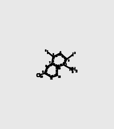 Nc1c(I)cc(I)c2cc(Cl)ccc12